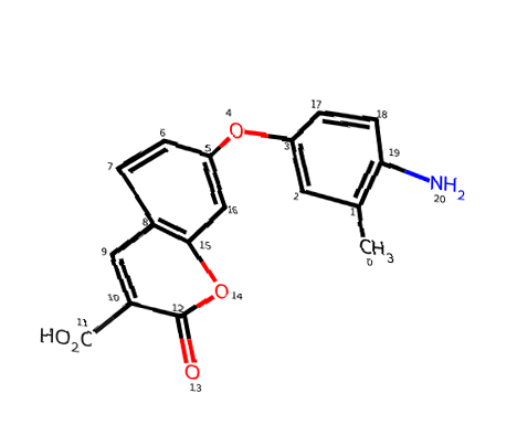 Cc1cc(Oc2ccc3cc(C(=O)O)c(=O)oc3c2)ccc1N